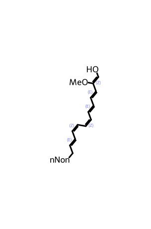 CCCCCCCCCC/C=C/C=C\C=C/C=C/C=C/C(=C/O)OC